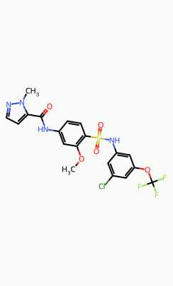 COc1cc(NC(=O)c2ccnn2C)ccc1S(=O)(=O)Nc1cc(Cl)cc(OC(F)(F)F)c1